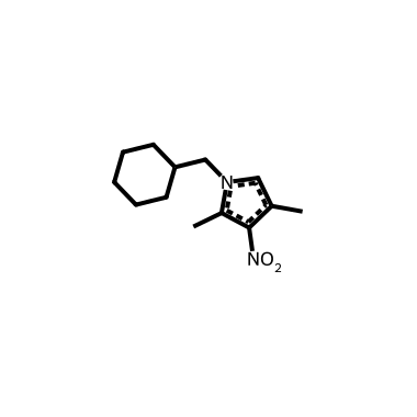 Cc1cn(CC2CCCCC2)c(C)c1[N+](=O)[O-]